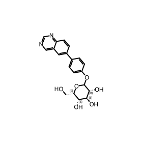 OC[C@@H]1OC(Oc2ccc(-c3ccc4ncncc4c3)cc2)[C@H](O)[C@@H](O)[C@@H]1O